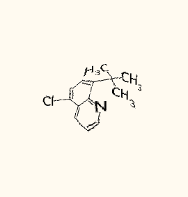 CC(C)(C)c1ccc(Cl)c2cccnc12